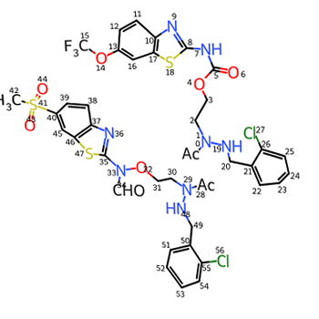 CC(=O)N(CCOC(=O)Nc1nc2ccc(OC(F)(F)F)cc2s1)NCc1ccccc1Cl.CC(=O)N(CCON(C=O)c1nc2ccc(S(C)(=O)=O)cc2s1)NCc1ccccc1Cl